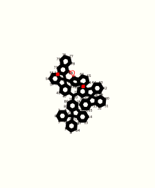 c1ccc(C2(c3ccccc3)c3ccccc3-c3cc(C(c4ccc5c(c4)C4(c6ccccc6-c6ccccc64)c4ccccc4-5)c4ccc5c(c4)C4(c6ccccc6-5)c5ccc6ccccc6c5Oc5c4ccc4ccccc54)ccc32)cc1